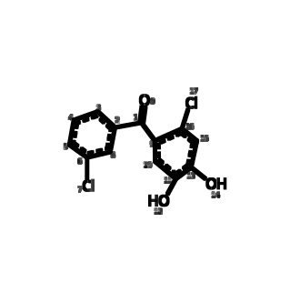 O=C(c1cccc(Cl)c1)c1cc(O)c(O)cc1Cl